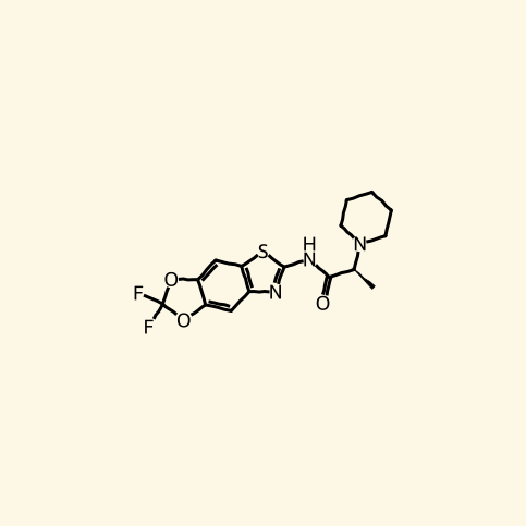 C[C@@H](C(=O)Nc1nc2cc3c(cc2s1)OC(F)(F)O3)N1CCCCC1